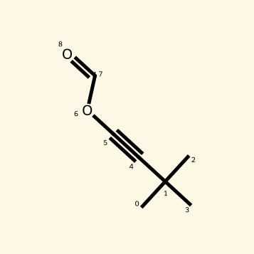 CC(C)(C)C#CO[C]=O